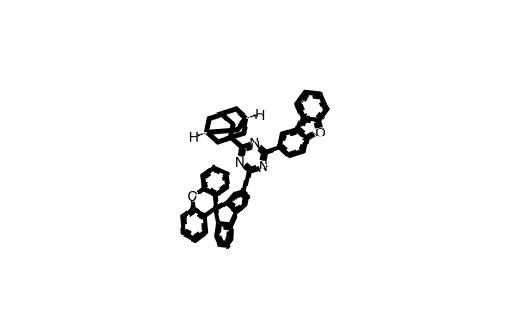 c1ccc2c(c1)Oc1ccccc1C21c2ccccc2-c2ccc(-c3nc(-c4ccc5oc6ccccc6c5c4)nc(C45CC6C[C@H](C4)C[C@@H](C6)C5)n3)cc21